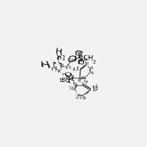 C=C[C@@H](CO[Si](c1ccccc1)(c1ccccc1)C(C)(C)C)[C@@H](C)COS(C)(=O)=O